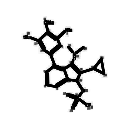 COc1c(C(C)(C)C)cc(-c2cccc3c2C([SiH](C)C)=C(C2CC2)C3OS(=O)(=O)C(F)(F)F)cc1C(C)(C)C